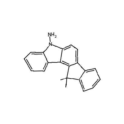 CC1(C)c2ccccc2-c2ccc3c(c21)c1ccccc1n3N